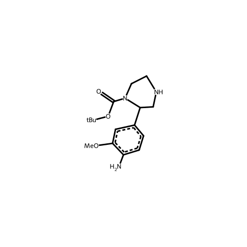 COc1cc(C2CNCCN2C(=O)OC(C)(C)C)ccc1N